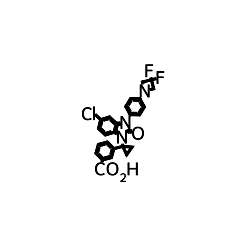 O=C(O)c1cccc(C2(n3c(=O)n(-c4ccc(N5CC(F)(F)C5)cc4)c4cc(Cl)ccc43)CC2)c1